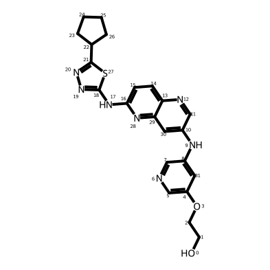 OCCOc1cncc(Nc2cnc3ccc(Nc4nnc(C5CCCC5)s4)nc3c2)c1